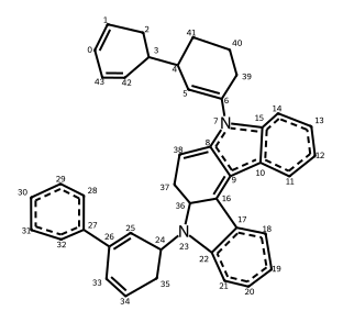 C1=CCC(C2C=C(n3c4c(c5ccccc53)=C3c5ccccc5N(C5C=C(c6ccccc6)C=CC5)C3CC=4)CCC2)C=C1